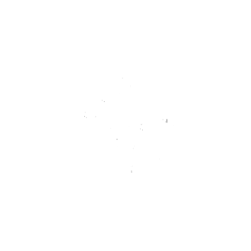 Cc1cccc(N)n1.Cc1nc(N)ccc1Br